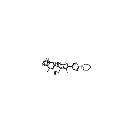 Cc1c(-c2ccc(N3CCCCC3)nc2)sc2[nH]c(-c3cc(C)c4ncnn4c3)c(C(C)C)c12